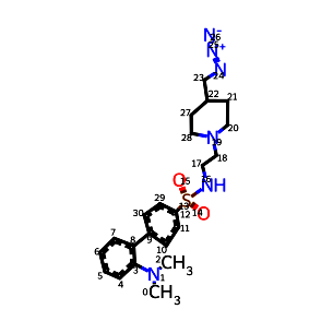 CN(C)c1ccccc1-c1ccc(S(=O)(=O)NCCN2CCC(CN=[N+]=[N-])CC2)cc1